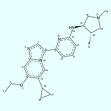 CCOc1cc2ncc(-c3cccc(N[C@H]4CN(C)C[C@@H]4F)n3)n2cc1C1CC1